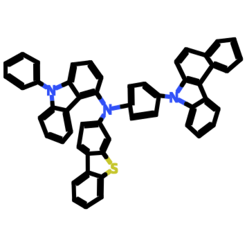 c1ccc(-n2c3ccccc3c3c(N(c4ccc(-n5c6ccccc6c6c7ccccc7ccc65)cc4)c4ccc5c(c4)sc4ccccc45)cccc32)cc1